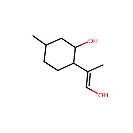 C/C(=C\O)C1CCC(C)CC1O